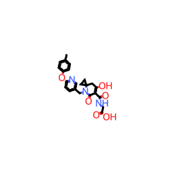 Cc1ccc(Oc2ccc(CN3C(=O)C(C(=O)NCC(=O)O)=C(O)CC34CC4)cn2)cc1